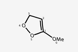 COC1=CCOO1